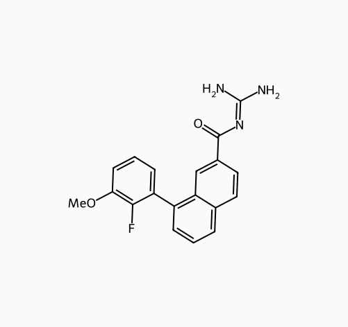 COc1cccc(-c2cccc3ccc(C(=O)N=C(N)N)cc23)c1F